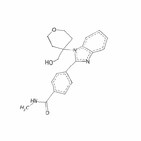 CNC(=O)c1ccc(-c2nc3ccccc3n2C2(CO)CCOCC2)cc1